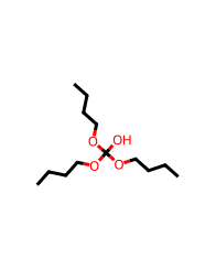 CCCCOC(O)(OCCCC)OCCCC